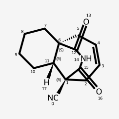 N#C[C@@]12CC=CC[C@]3(CCCC[C@H]31)C(=O)NC2=O